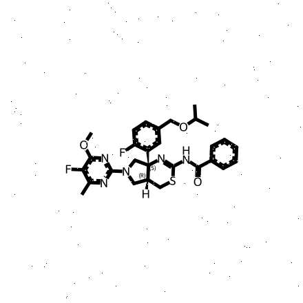 COc1nc(N2C[C@H]3CSC(NC(=O)c4ccccc4)=N[C@@]3(c3cc(COC(C)C)ccc3F)C2)nc(C)c1F